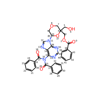 O=C(OC[C@]1(CO)COC[C@H](n2cnc3c(N(C(=O)c4ccccc4)C(=O)c4ccccc4)ncnc32)O1)c1ccccc1